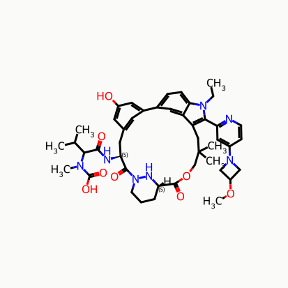 CCn1c(-c2cc(N3CC(OC)C3)ccn2)c2c3cc(ccc31)-c1cc(O)cc(c1)C[C@H](NC(=O)C(C(C)C)N(C)C(=O)O)C(=O)N1CCC[C@H](N1)C(=O)OCC(C)(C)C2